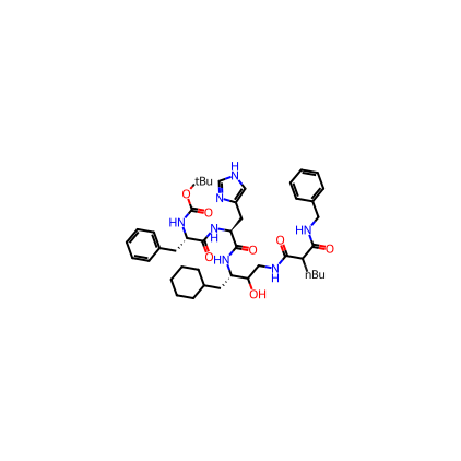 CCCCC(C(=O)NCc1ccccc1)C(=O)NCC(O)[C@H](CC1CCCCC1)NC(=O)[C@H](Cc1c[nH]cn1)NC(=O)[C@H](Cc1ccccc1)NC(=O)OC(C)(C)C